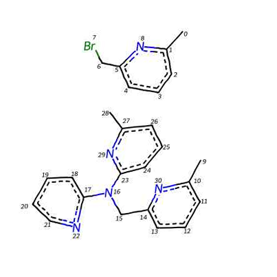 Cc1cccc(CBr)n1.Cc1cccc(CN(c2ccccn2)c2cccc(C)n2)n1